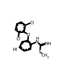 CSC(=N)Nc1ccccc1Oc1c(Cl)cccc1Cl.I